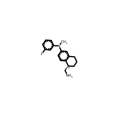 CN(c1cccc(F)c1)c1ccc2c(c1)CCC[C@H]2CN